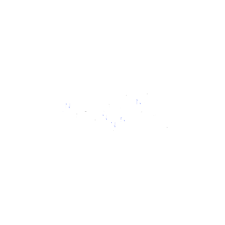 CCCCN(C)Cc1cn(CCCN)nn1